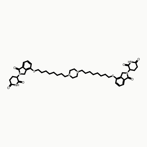 O=C1CCC(N2Cc3c(SCCCCCCCCN4CCN(CCCCCCCCSc5cccc6c5CN(C5CCC(=O)NC5=O)C6=O)CC4)cccc3C2=O)C(=O)N1